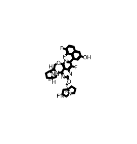 Oc1cc(-c2nc3c4c(nc(OC[C@]56CCCN5C[C@H](F)C6)nc4c2F)N2C[C@@H]4CCC(N4)[C@H]2CO3)c2c(F)c(F)ccc2c1